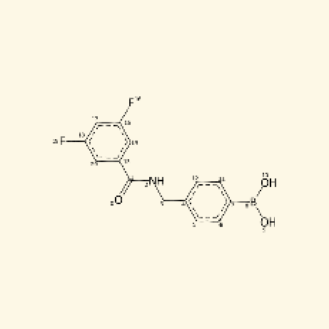 O=C(NCc1ccc(B(O)O)cc1)c1cc(F)cc(F)c1